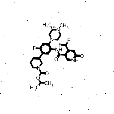 CC(C)OC(=O)N1CCC=C(c2cc(NC(=O)c3c[nH]c(=O)cc3C(F)F)c(N3CCN(C)[C@H](C)C3)cc2F)C1